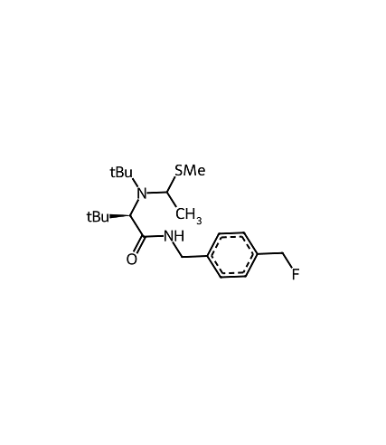 CSC(C)N([C@@H](C(=O)NCc1ccc(CF)cc1)C(C)(C)C)C(C)(C)C